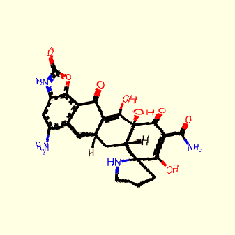 NC(=O)C1=C(O)C2(CCCN2)[C@@H]2C[C@@H]3Cc4c(N)cc5[nH]c(=O)oc5c4C(=O)C3=C(O)[C@]2(O)C1=O